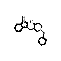 O=C1CCN(Cc2ccccc2)CC1Cc1c[nH]c2ccccc12